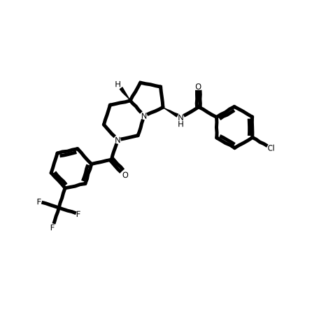 O=C(N[C@@H]1CC[C@H]2CCN(C(=O)c3cccc(C(F)(F)F)c3)CN21)c1ccc(Cl)cc1